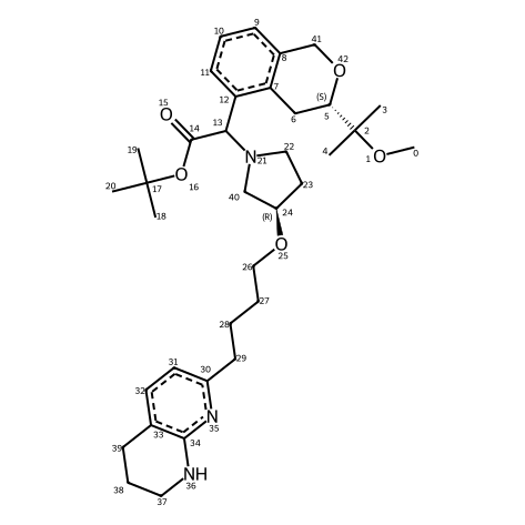 COC(C)(C)[C@@H]1Cc2c(cccc2C(C(=O)OC(C)(C)C)N2CC[C@@H](OCCCCc3ccc4c(n3)NCCC4)C2)CO1